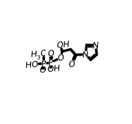 CP(=O)(O)P(=O)(O)OC(O)CC(=O)n1ccnc1